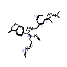 C=N/C(C/C=C\N=C/C)=C(\NCC(/C=C\C)=C/C=C(\C)NN(C)C)c1ccc2c(c1)CCC2=C